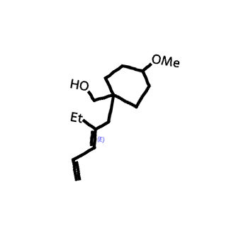 C=C/C=C(\CC)CC1(CO)CCC(OC)CC1